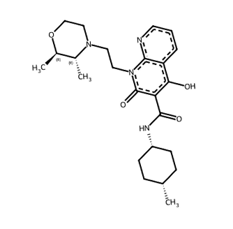 C[C@@H]1[C@@H](C)OCCN1CCn1c(=O)c(C(=O)N[C@H]2CC[C@@H](C)CC2)c(O)c2cccnc21